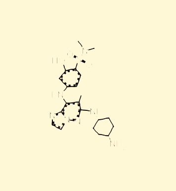 Cc1c(N[C@H]2CC[C@H](N)CC2)nn2ccnc2c1Nc1ccc(S(=O)(=O)N(C)C)c(O)c1